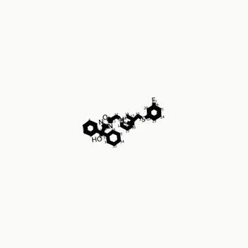 OC(c1ccccc1)(c1noc(C[N+]23CCC(CC2)C(CSc2cccc(F)c2)C3)n1)C1CCCCC1